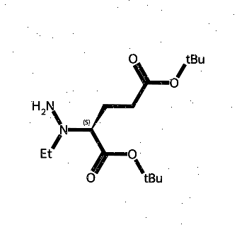 CCN(N)[C@@H](CCC(=O)OC(C)(C)C)C(=O)OC(C)(C)C